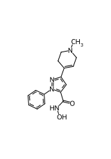 CN1CC=C(c2cc(C(=O)NO)n(-c3ccccc3)n2)CC1